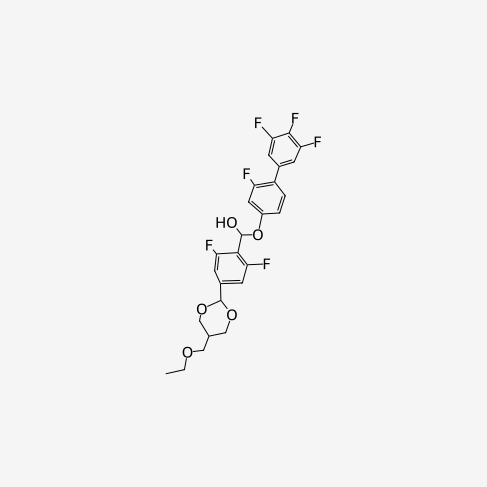 CCOCC1COC(c2cc(F)c(C(O)Oc3ccc(-c4cc(F)c(F)c(F)c4)c(F)c3)c(F)c2)OC1